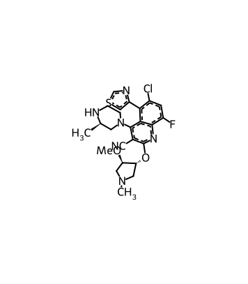 CO[C@@H]1CN(C)C[C@H]1Oc1nc2c(F)cc(Cl)c(-c3cscn3)c2c(N2CCN[C@H](C)C2)c1C#N